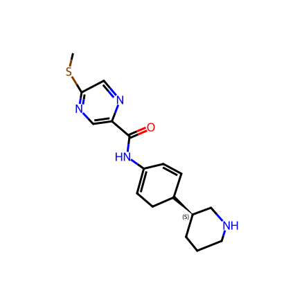 CSc1cnc(C(=O)NC2=CCC([C@@H]3CCCNC3)C=C2)cn1